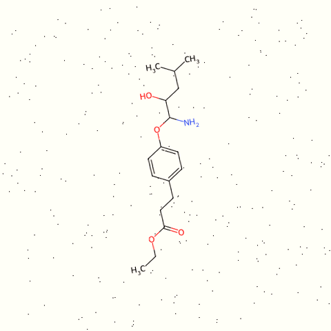 CCOC(=O)CCc1ccc(OC(N)C(O)CC(C)C)cc1